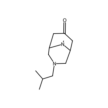 CC(C)CN1CC2CC(=O)CC(C1)N2C